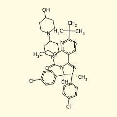 CCOc1nc(C(C)(C)C)ncc1C1=N[C@@](C)(c2ccc(Cl)cc2)[C@@](C)(c2ccc(Cl)cc2)N1C(=O)N1CCC(N2CCC(O)CC2)CC1